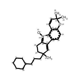 CC1(CCCC2CCCCC2)C=C2C(=[N+]([O-])c3c2ccc2c3C=CC(C)(C)O2)CC1